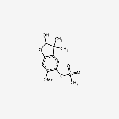 COc1cc2c(cc1OS(C)(=O)=O)C(C)(C)C(O)O2